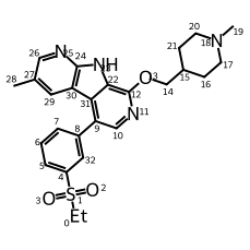 CCS(=O)(=O)c1cccc(-c2cnc(OCC3CCN(C)CC3)c3[nH]c4ncc(C)cc4c23)c1